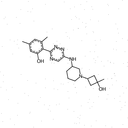 Cc1cc(C)c(-c2ncc(NC3CCCN(C4CC(C)(O)C4)C3)nn2)c(O)c1